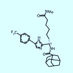 CNC(=O)CCCCC[C@H](NC(=O)C12CC3CC(CC(C3)C1)C2)c1ncc(-c2ccc(C(F)(F)F)cc2)[nH]1